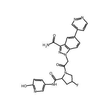 NC(=O)c1nn(CC(=O)N2CC(F)CC2C(=O)Nc2ccc(O)nc2)c2ccc(-c3ccnnc3)cc12